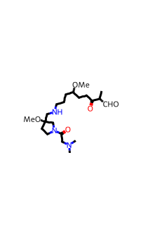 COC(CCCNCC1(OC)CCN(C(=O)CN(C)C)C1)CCC(=O)C(C)C=O